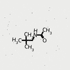 CC(=O)NCC(C)(C)C